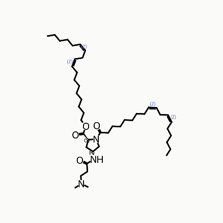 CCCCC/C=C\C/C=C\CCCCCCCCOC(=O)[C@@H]1C[C@@H](NC(=O)CCN(C)C)CN1C(=O)CCCCCCC/C=C\C/C=C\CCCCC